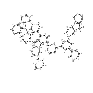 CC1(C)c2ccccc2-c2ccc(-c3nc(-c4ccccc4)nc(-c4cccc(-c5cccc6c5c5cc(-c7ccccc7)ccc5n6-c5ccc6c(c5)C5(c7ccccc7-c7ccccc75)c5ccccc5-6)c4)n3)cc21